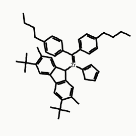 CCCCc1ccc([C](c2ccc(CCCC)cc2)=[Zr]([C]2=CC=CC2)[CH]2c3cc(C)c(C(C)(C)C)cc3-c3cc(C(C)(C)C)c(C)cc32)cc1